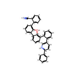 N#Cc1ccccc1-c1cccc2c1oc1c(-c3ccccc3-c3ccc(-c4ccccc4)nc3)cccc12